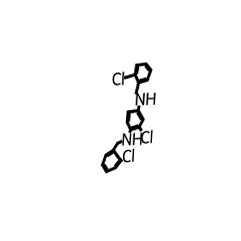 Clc1ccccc1CNc1ccc(NCc2ccccc2Cl)c(Cl)c1